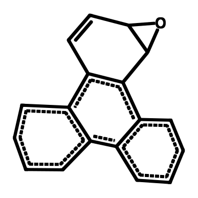 C1=CC2OC2c2c1c1ccccc1c1ccccc21